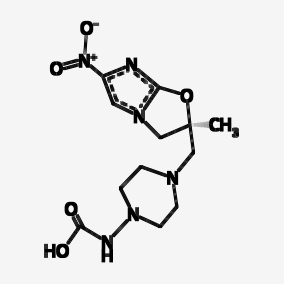 C[C@]1(CN2CCN(NC(=O)O)CC2)Cn2cc([N+](=O)[O-])nc2O1